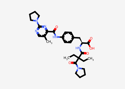 CCC(CC)(C(=O)N[C@@H](Cc1ccc(NC(=O)c2nc(N3CCCC3)ncc2C)cc1)C(=O)O)C(=O)N1CCCC1